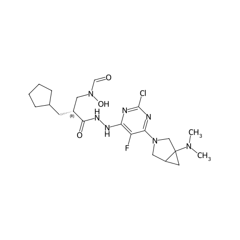 CN(C)C12CC1CN(c1nc(Cl)nc(NNC(=O)[C@H](CC3CCCC3)CN(O)C=O)c1F)C2